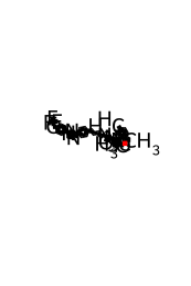 Cc1ccc(C(C)C)c(N2C(=O)CSC2=NC(=O)NCCCCc2ccc(-c3ncn(-c4ccc(OC(F)(F)F)cc4)n3)cc2)c1